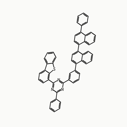 c1ccc(-c2nc(-c3cccc(-c4ccc(-c5ccc(-c6ccccc6)c6ccccc56)c5ccccc45)c3)nc(-c3cccc4c3sc3ccccc34)n2)cc1